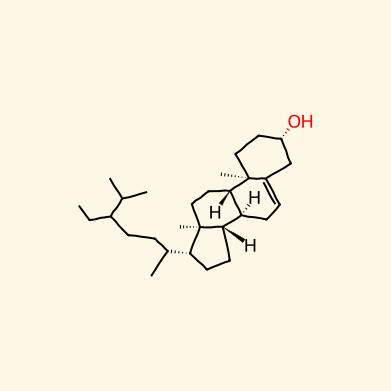 CCC(CCC(C)[C@H]1CC[C@H]2[C@@H]3CC=C4C[C@@H](O)CC[C@]4(C)[C@H]3CC[C@]12C)C(C)C